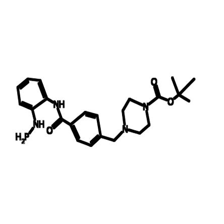 CC(C)(C)OC(=O)N1CCN(Cc2ccc(C(=O)Nc3ccccc3NP)cc2)CC1